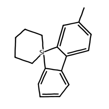 Cc1ccc2c(c1)[Si]1(CCCCC1)c1ccccc1-2